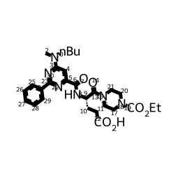 CCCCN(C)c1cc(C(=O)N[C@@H](CCC(=O)O)C(=O)N2CCN(C(=O)OCC)CC2)nc(-c2ccccc2)n1